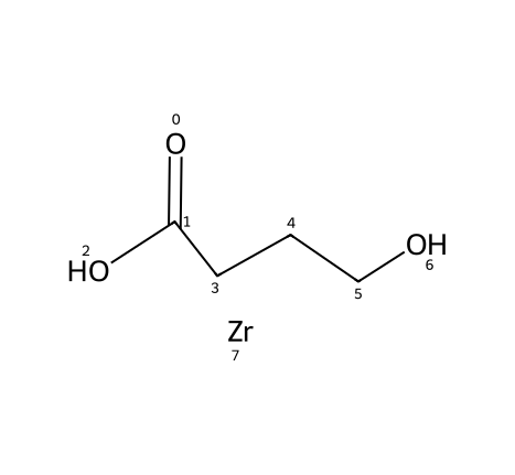 O=C(O)CCCO.[Zr]